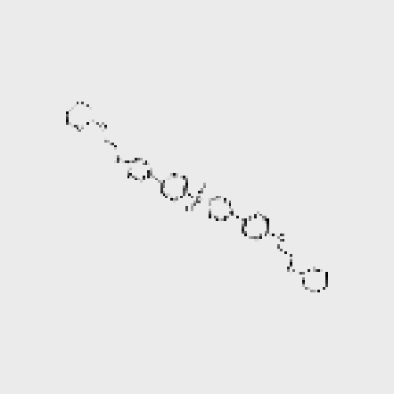 O=S(=O)(c1ccc(-c2ccc(OCCOC3CCCCO3)cc2)cc1)c1ccc(-c2ccc(SCCOC3CCCCO3)cc2)cc1